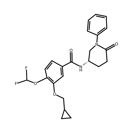 O=C(N[C@H]1CCC(=O)N(c2ccccc2)C1)c1ccc(OC(F)F)c(OCC2CC2)c1